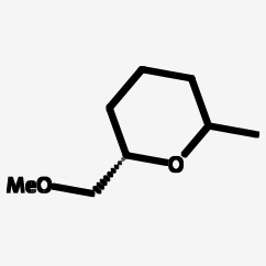 COC[C@@H]1CCCC(C)O1